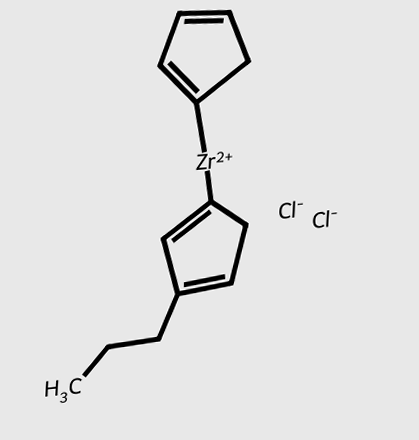 CCCC1=CC[C]([Zr+2][C]2=CC=CC2)=C1.[Cl-].[Cl-]